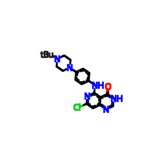 CC(C)(C)N1CCN(c2ccc(Nc3nc(Cl)cc4nc[nH]c(=O)c34)cc2)CC1